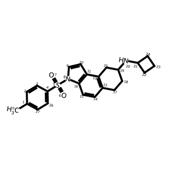 Cc1ccc(S(=O)(=O)n2ccc3c4c(ccc32)CCC(NC2CCC2)C4)cc1